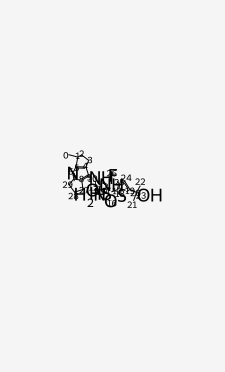 CC1CCc2c1nc1c(c2NC(=O)N[SH](N)(=O)c2sc(C(C)(C)O)cc2F)CCC1